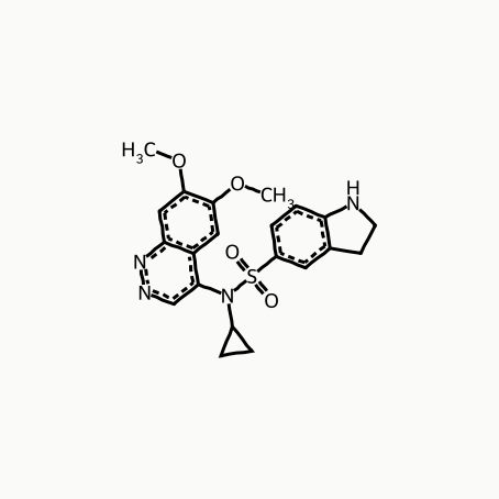 COc1cc2nncc(N(C3CC3)S(=O)(=O)c3ccc4c(c3)CCN4)c2cc1OC